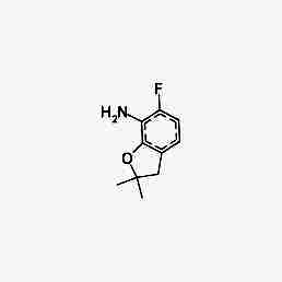 CC1(C)Cc2ccc(F)c(N)c2O1